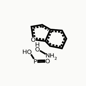 NO.O=PO.c1ccc2occc2c1